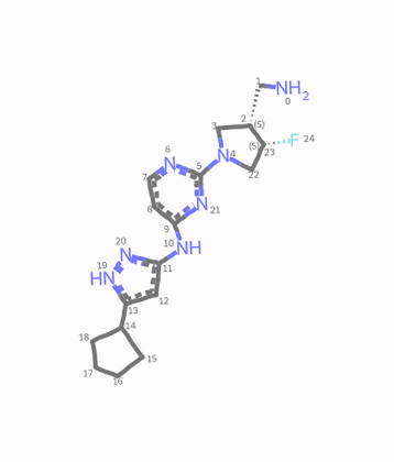 NC[C@H]1CN(c2nccc(Nc3cc(C4CCCC4)[nH]n3)n2)C[C@H]1F